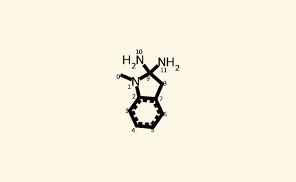 CN1c2ccccc2CC1(N)N